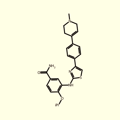 CC(C)Oc1ccc(C(N)=O)cc1Nc1nc(-c2ccc(C3=CCN(C)CC3)cc2)cs1